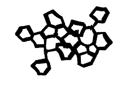 c1ccc(N(c2ccccc2)c2cccc3c4cccc5c6nc7c(nc6n(c23)c45)c2cccc3c4c5ccccc5cc(N(c5ccccc5)c5ccccc5)c4n7c23)cc1